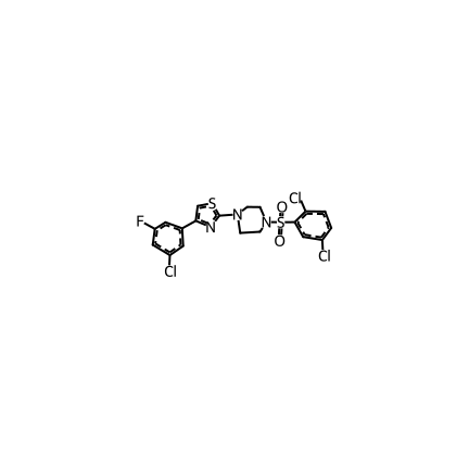 O=S(=O)(c1cc(Cl)ccc1Cl)N1CCN(c2nc(-c3cc(F)cc(Cl)c3)cs2)CC1